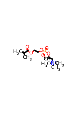 C=C(C)C(=O)OCCOP(=O)(OC)OCC[N+](C)(C)C